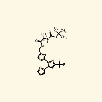 C[C@H](NC(=O)OC(C)(C)C)C(=O)NCc1csc(-n2nc(C(F)(F)F)cc2-c2ccco2)n1